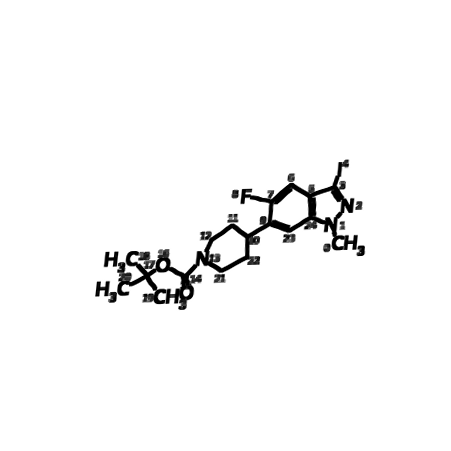 Cn1nc(I)c2cc(F)c(C3CCN(C(=O)OC(C)(C)C)CC3)cc21